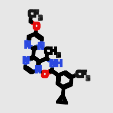 CC(NC(=O)c1cc(C2CC2)cc(C(F)(F)F)c1)c1nccnc1-c1ncc(OCC(F)(F)F)cn1